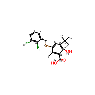 Cc1c(SCc2cccc(F)c2F)cc(C(C)(C)C)c(O)c1C(=O)O